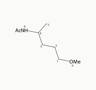 COCCCC(C)NC(C)=O